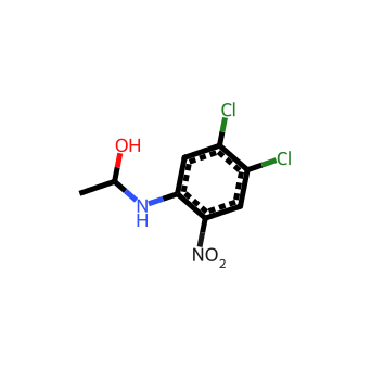 CC(O)Nc1cc(Cl)c(Cl)cc1[N+](=O)[O-]